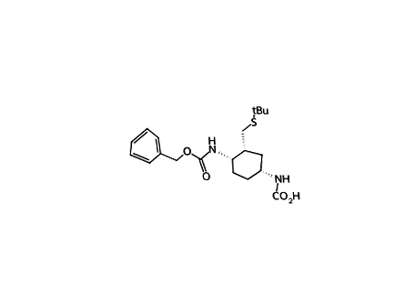 CC(C)(C)SC[C@@H]1C[C@H](NC(=O)O)CC[C@@H]1NC(=O)OCc1ccccc1